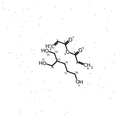 C=CC(=O)OC(=O)C=C.OCCCC(CO)CO